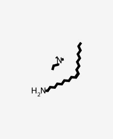 CCCCCCCC/C=C\CCCCCCCCN.CCCN(C)C